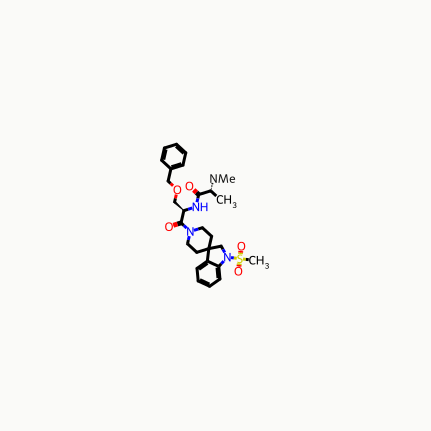 CN[C@H](C)C(=O)N[C@H](COCc1ccccc1)C(=O)N1CCC2(CC1)CN(S(C)(=O)=O)c1ccccc12